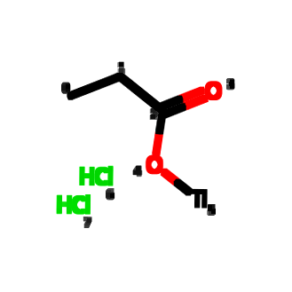 CCC(=O)[O][Ti].Cl.Cl